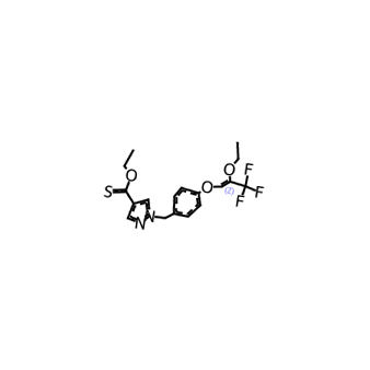 CCOC(=S)c1cnn(Cc2ccc(O/C=C(\OCC)C(F)(F)F)cc2)c1